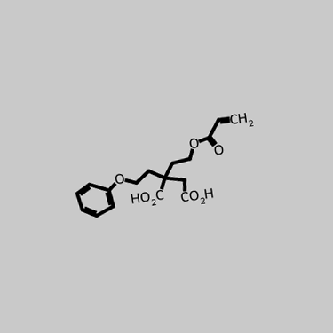 C=CC(=O)OCCC(CCOc1ccccc1)(CC(=O)O)C(=O)O